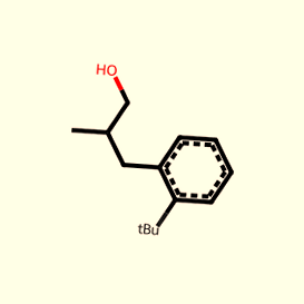 CC(CO)Cc1ccccc1C(C)(C)C